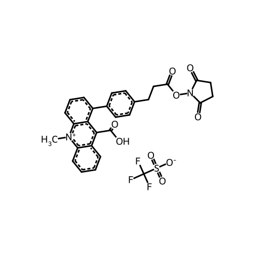 C[n+]1c2ccccc2c(C(=O)O)c2c(-c3ccc(CCC(=O)ON4C(=O)CCC4=O)cc3)cccc21.O=S(=O)([O-])C(F)(F)F